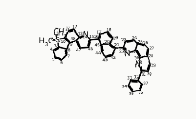 CS1(C)c2ccccc2-c2c1ccc1nc(-c3cccc4c(-c5ccc6ccc7ccc(-c8ccccc8)nc7c6n5)cccc34)ccc21